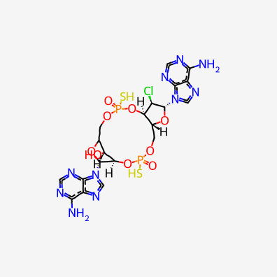 Nc1ncnc2c1ncn2[C@@H]1O[C@@H]2COP(=O)(S)O[C@@H]3[C@H](O)C(COP(=O)(S)O[C@H]2[C@H]1Cl)O[C@H]3n1cnc2c(N)ncnc21